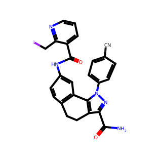 N#Cc1ccc(-n2nc(C(N)=O)c3c2-c2cc(NC(=O)c4cccnc4CI)ccc2CC3)cc1